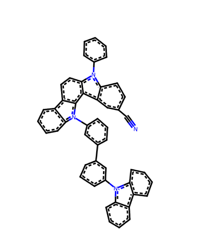 N#Cc1ccc2c(c1)c1c(ccc3c4ccccc4n(-c4cccc(-c5cccc(-n6c7ccccc7c7ccccc76)c5)c4)c31)n2-c1ccccc1